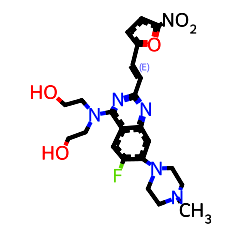 CN1CCN(c2cc3nc(/C=C/c4ccc([N+](=O)[O-])o4)nc(N(CCO)CCO)c3cc2F)CC1